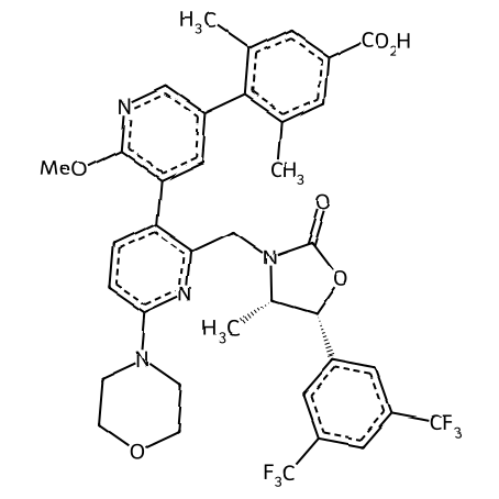 COc1ncc(-c2c(C)cc(C(=O)O)cc2C)cc1-c1ccc(N2CCOCC2)nc1CN1C(=O)O[C@H](c2cc(C(F)(F)F)cc(C(F)(F)F)c2)[C@@H]1C